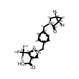 O=C(O)c1cn(Cc2ccc(CN3C[C@@H]4C[C@@H]4C3=O)cc2)nc1C(F)(F)F